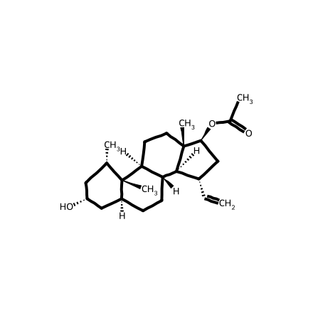 C=C[C@H]1C[C@H](OC(C)=O)[C@@]2(C)CC[C@H]3[C@@H](CC[C@H]4C[C@H](O)C[C@H](C)[C@@]43C)[C@H]12